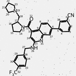 N#Cc1cccc(-c2ccc3c(C(=O)N4CCC[C@H]4CN4CCCC4)cc(NCc4ccc(C(F)(F)F)cc4)nc3c2)c1